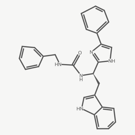 O=C(NCc1ccccc1)N[C@H](Cc1c[nH]c2ccccc12)c1nc(-c2ccccc2)c[nH]1